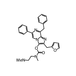 CNCCN(C)C(=O)Oc1c(Cc2ccco2)nc2c(Cc3ccccc3)nc(-c3ccccc3)cn12